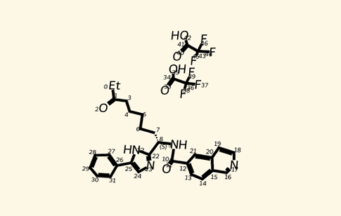 CCC(=O)CCCCC[C@H](NC(=O)c1ccc2cnccc2c1)c1ncc(-c2ccccc2)[nH]1.O=C(O)C(F)(F)F.O=C(O)C(F)(F)F